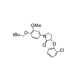 COc1cc(N2CCC(Oc3ccccc3Cl)C2=O)ccc1OCC(C)(C)C